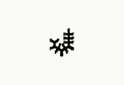 O=C(C(F)(F)C(=O)C(F)(F)C(F)(F)C(F)(F)F)C(F)(F)C(F)C(F)F